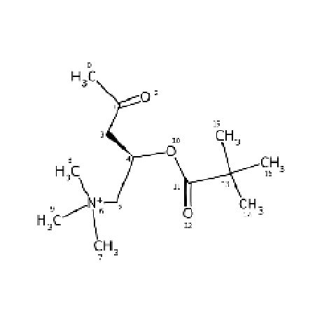 CC(=O)C[C@H](C[N+](C)(C)C)OC(=O)C(C)(C)C